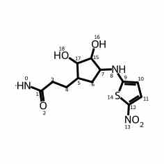 [NH]C(=O)CCC1CC(Nc2ccc([N+](=O)[O-])s2)C(O)C1O